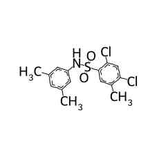 Cc1cc(C)cc(NS(=O)(=O)c2cc(C)c(Cl)cc2Cl)c1